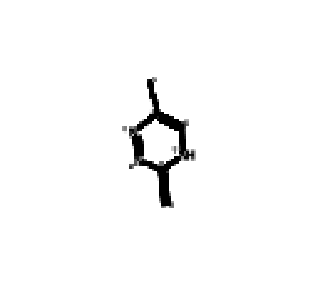 C=C1N=NC(C)=CN1